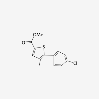 COC(=O)c1cc(C)c(-c2ccc(Cl)cc2)s1